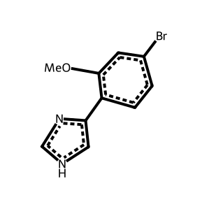 COc1cc(Br)ccc1-c1c[nH]cn1